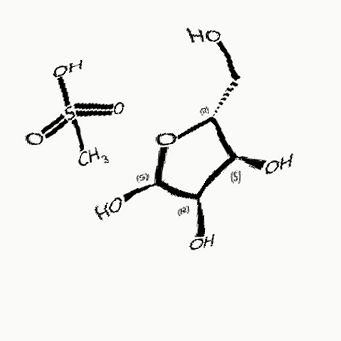 CS(=O)(=O)O.OC[C@H]1O[C@H](O)[C@H](O)[C@@H]1O